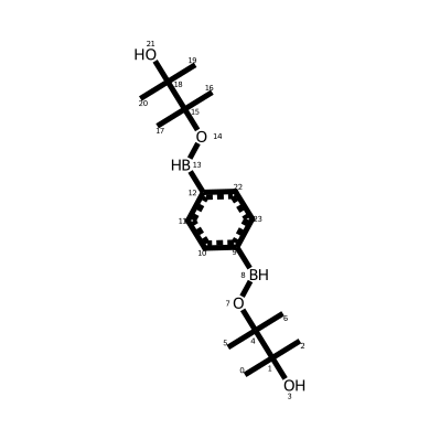 CC(C)(O)C(C)(C)OBc1ccc(BOC(C)(C)C(C)(C)O)cc1